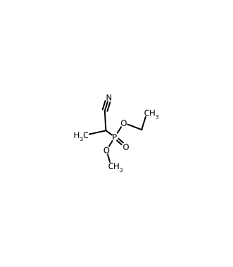 CCOP(=O)(OC)C(C)C#N